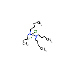 CCCC[N](CCCC)[Ti]([Cl])([Cl])[N](CCCC)CCCC